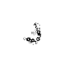 COCCNC(=O)c1ccc2nn(CC3CCN(C(=O)c4ccc(-c5ccc(Cl)cc5C)cc4)CC3)cc2c1C